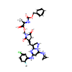 CC(NC(=O)OCc1ccccc1)C(=O)OCN1C(=O)C/C(=C\c2cnn3c(NC4CC4)cc(Nc4cc(Cl)ccc4F)nc23)C1=O